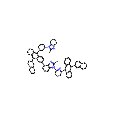 Cc1nc2ccccc2n1-c1cccc(-c2c3ccccc3c(-c3ccc4ccccc4c3)c3cc(-c4cccc5c4nc(C)n5-c4cccc(-c5c6ccccc6c(-c6ccc7ccccc7c6)c6ccccc56)n4)ccc23)c1